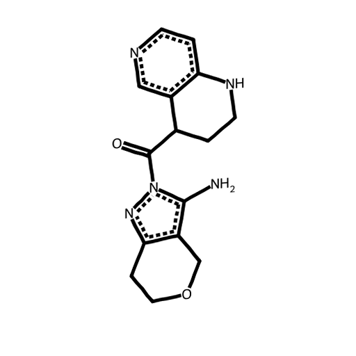 Nc1c2c(nn1C(=O)C1CCNc3ccncc31)CCOC2